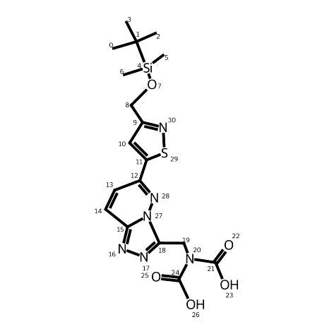 CC(C)(C)[Si](C)(C)OCc1cc(-c2ccc3nnc(CN(C(=O)O)C(=O)O)n3n2)sn1